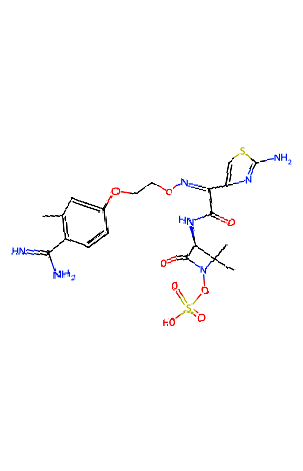 Cc1cc(OCCO/N=C(\C(=O)N[C@@H]2C(=O)N(OS(=O)(=O)O)C2(C)C)c2csc(N)n2)ccc1C(=N)N